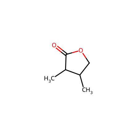 CC1COC(=O)C1C